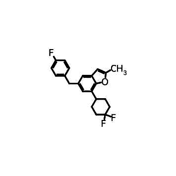 Cc1cc2cc(Cc3ccc(F)cc3)cc(C3CCC(F)(F)CC3)c2o1